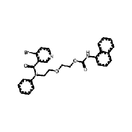 O=C(Nc1cccc2ccccc12)OCCOCCN(C(=O)c1cnccc1Br)c1ccccc1